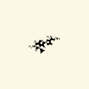 CCOCC(N)C1CN(c2ncc3c(=O)n(N)c(=O)n(C4CC4)c3c2C)CC1F